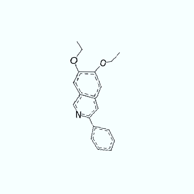 CCOc1cc2cnc(-c3ccccc3)cc2cc1OCC